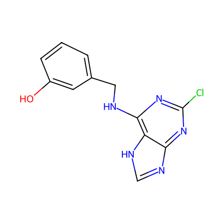 Oc1cccc(CNc2nc(Cl)nc3nc[nH]c23)c1